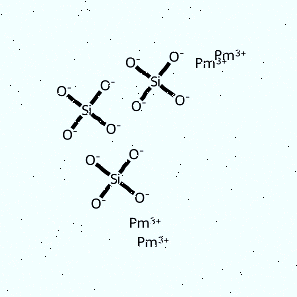 [O-][Si]([O-])([O-])[O-].[O-][Si]([O-])([O-])[O-].[O-][Si]([O-])([O-])[O-].[Pm+3].[Pm+3].[Pm+3].[Pm+3]